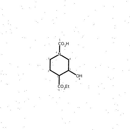 CCOC(=O)C1CCN(C(=O)O)CC1O